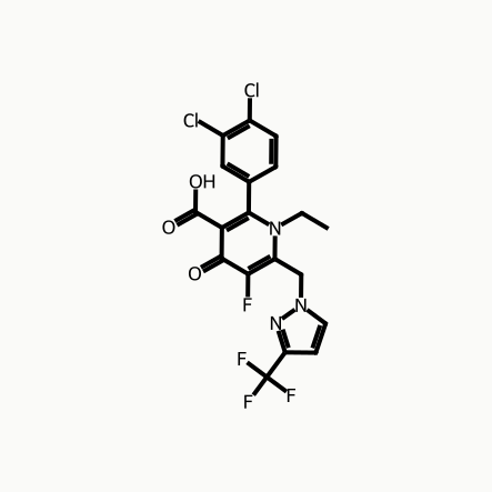 CCn1c(Cn2ccc(C(F)(F)F)n2)c(F)c(=O)c(C(=O)O)c1-c1ccc(Cl)c(Cl)c1